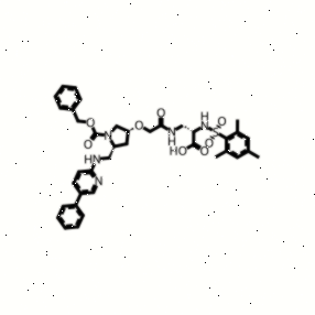 Cc1cc(C)c(S(=O)(=O)N[C@@H](CNC(=O)CO[C@@H]2C[C@@H](CNc3ccc(-c4ccccc4)cn3)N(C(=O)OCc3ccccc3)C2)C(=O)O)c(C)c1